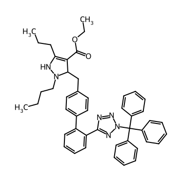 CCCCN1NC(CCC)=C(C(=O)OCC)C1Cc1ccc(-c2ccccc2-c2nnn(C(c3ccccc3)(c3ccccc3)c3ccccc3)n2)cc1